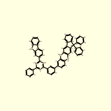 c1ccc(-c2nc(-c3cccc(-c4ccc5c(c4)Oc4cc6c(cc4O5)C(c4ccccc4)(c4ccccc4)c4ccccc4-6)c3)nc(-c3ccc4c(c3)oc3ccccc34)n2)cc1